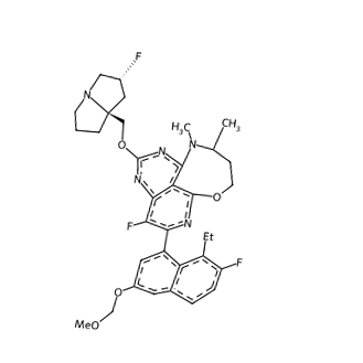 CCc1c(F)ccc2cc(OCOC)cc(-c3nc4c5c(nc(OC[C@@]67CCCN6C[C@H](F)C7)nc5c3F)N(C)C(C)CCO4)c12